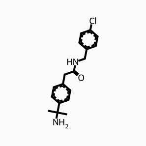 CC(C)(N)c1ccc(CC(=O)NCc2ccc(Cl)cc2)cc1